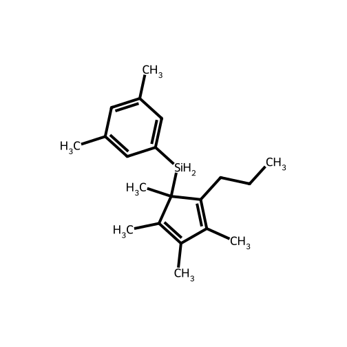 CCCC1=C(C)C(C)=C(C)C1(C)[SiH2]c1cc(C)cc(C)c1